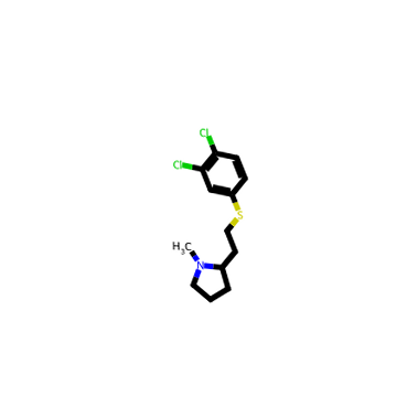 CN1CCCC1CCSc1ccc(Cl)c(Cl)c1